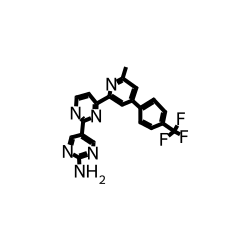 Cc1cc(-c2ccc(C(F)(F)F)cc2)cc(-c2ccnc(-c3cnc(N)nc3)n2)n1